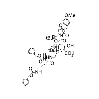 COc1ccc(Cn2c(=O)ccn([C@@H]3OC([C@H](O)[C@H](NCCCNC(=O)[C@H](CCCCNC(=O)OCc4ccccc4)NC(=O)OCc4ccccc4)C(=O)O)[C@@H](O[Si](C)(C)C(C)(C)C)[C@H]3O[Si](C)(C)C(C)(C)C)c2=O)cc1